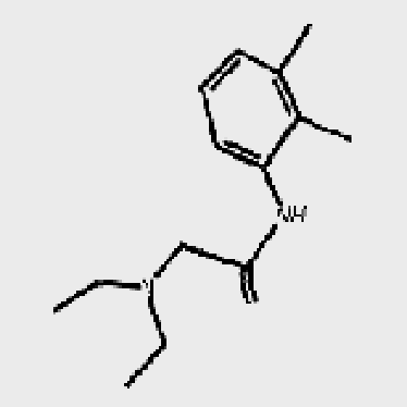 C=C(CN(CC)CC)Nc1cccc(C)c1C